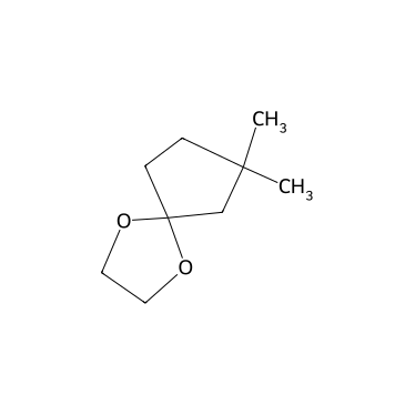 CC1(C)CCC2(C1)OCCO2